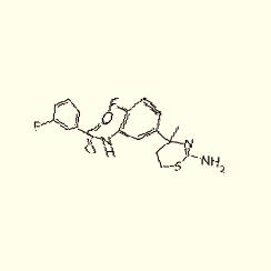 CC1(c2ccc(F)c(NS(=O)(=O)c3cccc(F)c3)c2)CCSC(N)=N1